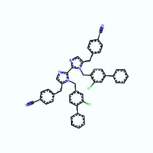 N#Cc1ccc(Cc2cnc(-c3ncc(Cc4ccc(C#N)cc4)n3Cc3ccc(-c4ccccc4)cc3Cl)n2Cc2ccc(-c3ccccc3)c(Cl)c2)cc1